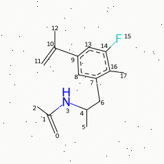 C=C(C)NC(C)Cc1cc(C(=C)C)cc(F)c1C